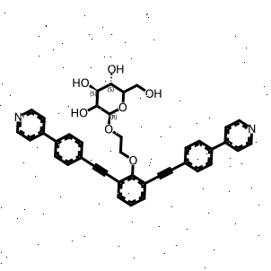 OCC1O[C@@H](OCCOc2c(C#Cc3ccc(-c4ccncc4)cc3)cccc2C#Cc2ccc(-c3ccncc3)cc2)C(O)[C@@H](O)[C@@H]1O